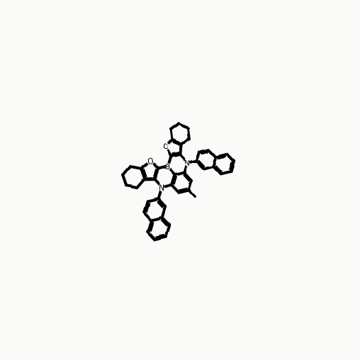 Cc1cc2c3c(c1)N(c1ccc4ccccc4c1)c1c(oc4c1CCCC4)B3c1oc3c(c1N2c1ccc2ccccc2c1)CCCC3